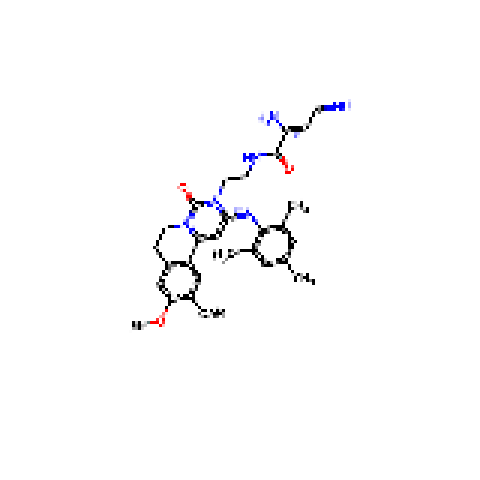 CCOc1cc2c(cc1OC)-c1c/c(=N\c3c(C)cc(C)cc3C)n(CCNC(=O)/C(N)=C/C=N)c(=O)n1CC2